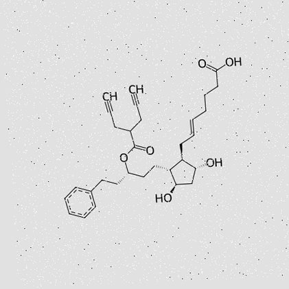 C#CCC(CC#C)C(=O)O[C@@H](CCc1ccccc1)CC[C@@H]1[C@@H](CC=CCCCC(=O)O)[C@H](O)C[C@H]1O